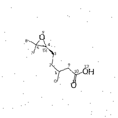 CC(CC[C@@H]1OC1(C)C)CC(=O)O